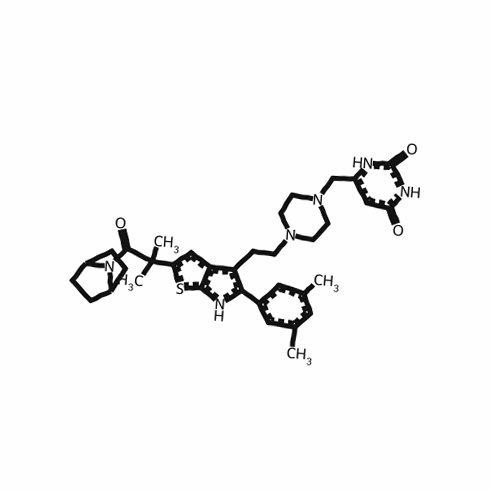 Cc1cc(C)cc(-c2[nH]c3sc(C(C)(C)C(=O)N4C5CCC4CC5)cc3c2CCN2CCN(Cc3cc(=O)[nH]c(=O)[nH]3)CC2)c1